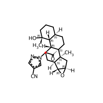 C[C@]12C[C@H]3O[C@@H]3[C@H]1CC[C@@H]1[C@H]3[C@@H](CCC[C@@]3(C)O)CC[C@]12C(=O)Cn1cc(C#N)cn1